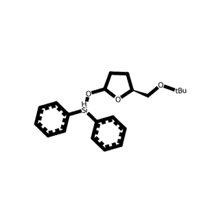 CC(C)(C)OC[C@@H]1CCC(O[SiH](c2ccccc2)c2ccccc2)O1